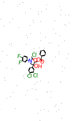 O=C(OCCC(O)(CN(C(=O)CCl)c1ccc(F)c(F)c1)c1ccc(Cl)c(Cl)c1)c1ccccc1